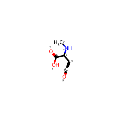 CNC(C=C=O)C(=O)O